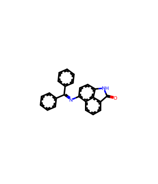 O=C1Nc2ccc(N=C(c3ccccc3)c3ccccc3)c3cccc1c23